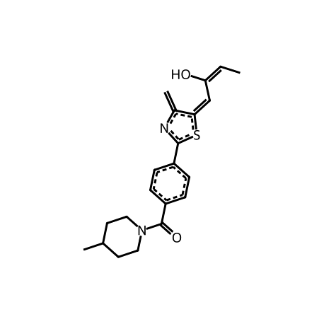 C=c1nc(-c2ccc(C(=O)N3CCC(C)CC3)cc2)s/c1=C/C(O)=C\C